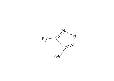 CCCC1=C[N]N=C1C(F)(F)F